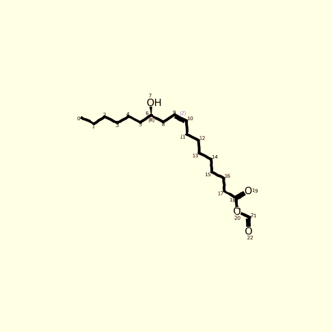 CCCCCC[C@@H](O)C/C=C\CCCCCCCC(=O)OC=O